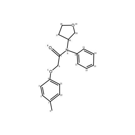 Cc1ccc(OCC(=O)N(c2ccccc2)C2CCOC2)cc1